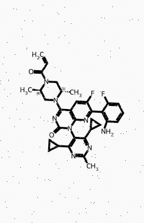 C=CC(=O)N1C[C@H](C)N(c2nc(=O)n(-c3c(C4CC4)nc(C)nc3C3CC3)c3nc(-c4c(N)cccc4F)c(F)cc23)C[C@H]1C